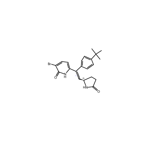 CC(C)(C)c1ccc(/C(=C\[C@H]2CCC(=O)N2)c2ccc(Br)c(=O)[nH]2)cc1